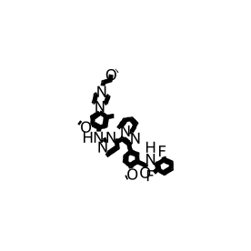 COCCN1CCN(c2cc(OC)c(Nc3nccc(-c4c(-c5ccc(OC)c(C(=O)Nc6c(F)cccc6F)c5)nc5ccccn45)n3)cc2C)CC1